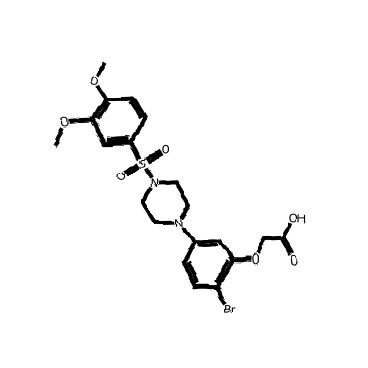 COc1ccc(S(=O)(=O)N2CCN(c3ccc(Br)c(OCC(=O)O)c3)CC2)cc1OC